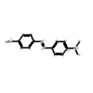 CCCCc1ccc(N=Nc2ccc(N(C)C)cc2)cc1